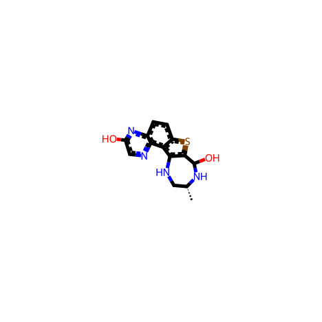 C[C@@H]1CNc2c(sc3ccc4nc(O)cnc4c23)C(O)N1